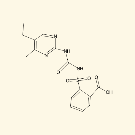 CCc1cnc(NC(=O)NS(=O)(=O)c2ccccc2C(=O)O)nc1C